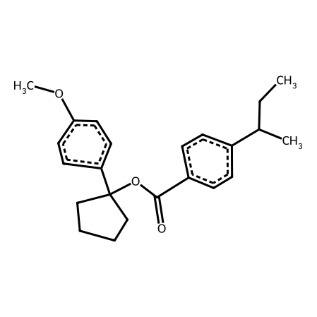 CCC(C)c1ccc(C(=O)OC2(c3ccc(OC)cc3)CCCC2)cc1